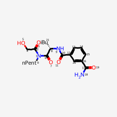 CCCCCN(C(=O)CO)C(=O)[C@@H](NC(=O)c1cccc(C(N)=O)c1)C(C)CC